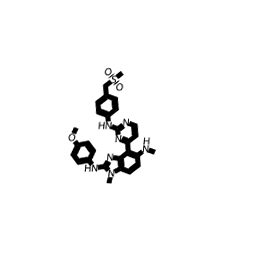 CNc1ccc2c(nc(Nc3ccc(OC)cc3)n2C)c1-c1ccnc(Nc2ccc(CS(C)(=O)=O)cc2)n1